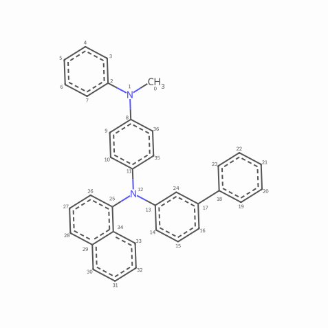 CN(c1ccccc1)c1ccc(N(c2cccc(-c3ccccc3)c2)c2cccc3ccccc23)cc1